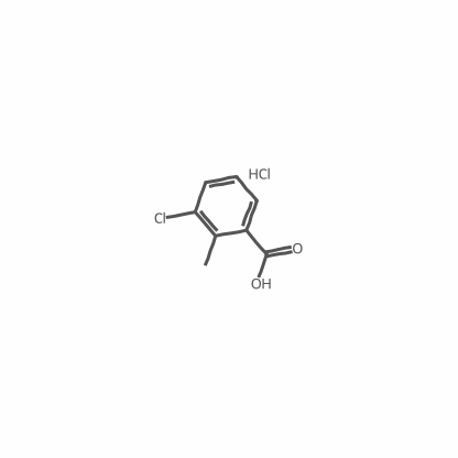 Cc1c(Cl)cccc1C(=O)O.Cl